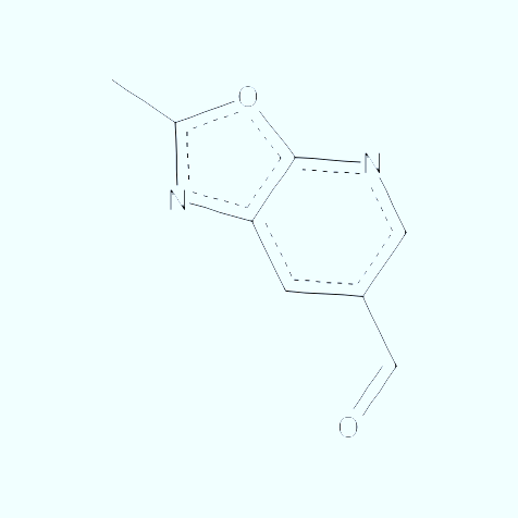 Cc1nc2cc(C=O)cnc2o1